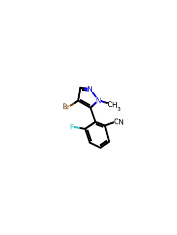 Cn1ncc(Br)c1-c1c(F)cccc1C#N